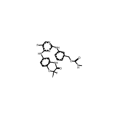 CNC(=O)OCc1cccc(Nc2ncc(F)c(Nc3ccc4c(c3)NC(=O)C(F)(F)O4)n2)c1